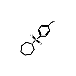 CC(C)c1ccc(S(=O)(=O)N2CCCCCC2)cc1